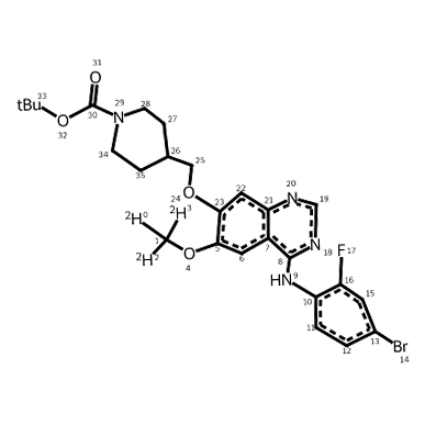 [2H]C([2H])([2H])Oc1cc2c(Nc3ccc(Br)cc3F)ncnc2cc1OCC1CCN(C(=O)OC(C)(C)C)CC1